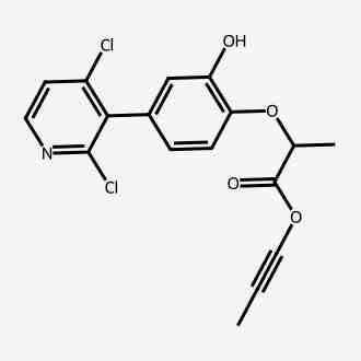 CC#COC(=O)C(C)Oc1ccc(-c2c(Cl)ccnc2Cl)cc1O